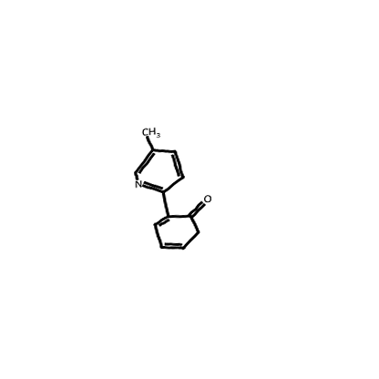 Cc1ccc(C2=CC=CCC2=O)nc1